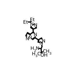 CCC(CC)n1cc(-c2nc(-c3cnn(CC(N)C(C)(C)O)c3)cn3nccc23)cn1